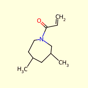 C=CC(=O)N1CCC(C)CC(C)C1